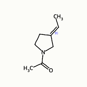 C/C=C1\CCN(C(C)=O)C1